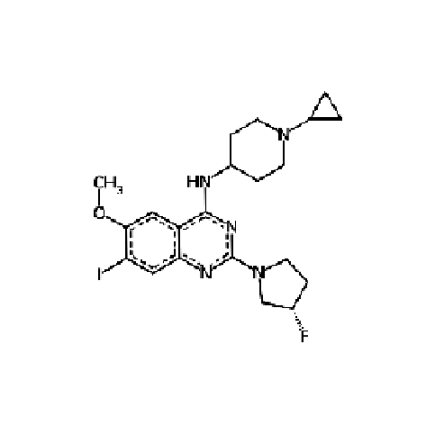 COc1cc2c(NC3CCN(C4CC4)CC3)nc(N3CC[C@H](F)C3)nc2cc1I